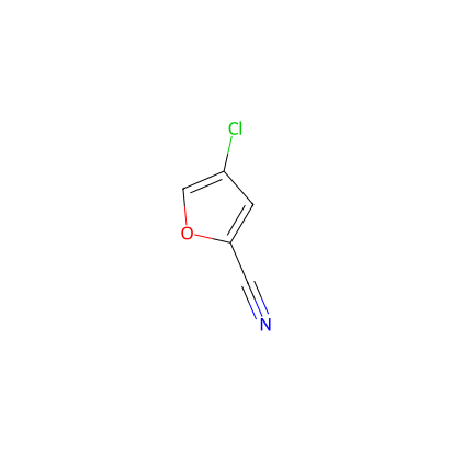 N#Cc1cc(Cl)co1